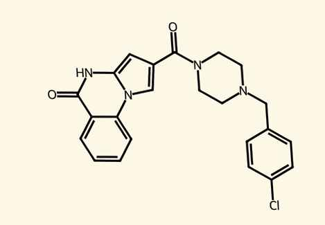 O=C(c1cc2[nH]c(=O)c3ccccc3n2c1)N1CCN(Cc2ccc(Cl)cc2)CC1